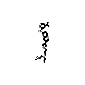 CCCN(CCCn1cc(-c2cnc3ccc(Nc4cc(C(C)C)cnn4)nc3c2)cn1)CCOC